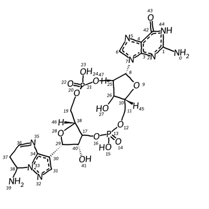 Nc1nc2c(ncn2[C@@H]2O[C@@H]3COP(=O)(O)OC4[C@@H](COP(=O)(O)O[C@H]2C3O)O[C@@H](c2cnn3c2N=CCC3N)[C@H]4O)c(=O)[nH]1